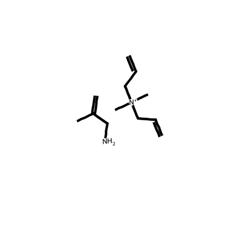 C=C(C)CN.C=CC[N+](C)(C)CC=C